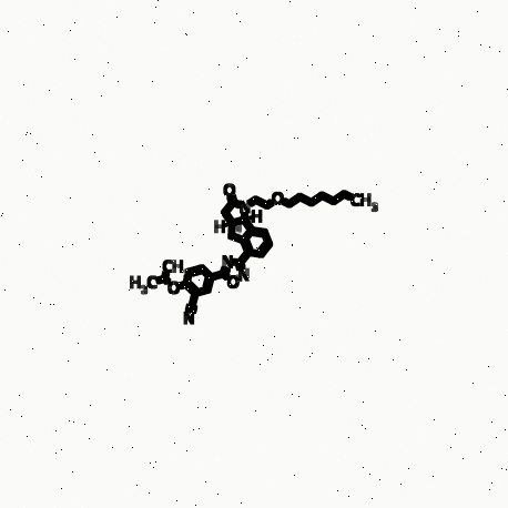 CCCCCCCOCCN1C(=O)C[C@@H]2Cc3c(-c4noc(-c5ccc(OC(C)C)c(C#N)c5)n4)cccc3[C@@H]21